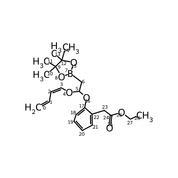 C=C/C=C\OC(CB1OC(C)(C)C(C)(C)O1)Oc1ccccc1CC(=O)OCC